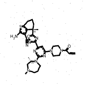 C=CC(=O)N1CCN(c2cc(-c3noc([C@@]4(C)CCCc5sc(N)c(C#N)c54)n3)nc(N3CCCN(C)C[C@@H]3C)n2)CC1